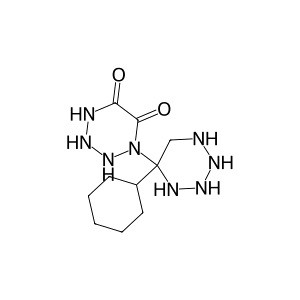 O=C1NNNN(C2(C3CCCCC3)CNNNN2)C1=O